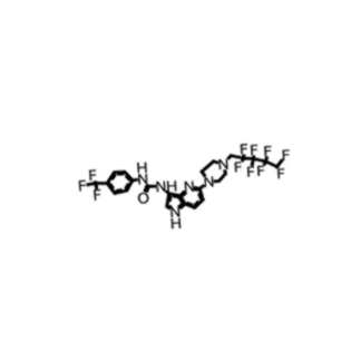 O=C(Nc1ccc(C(F)(F)F)cc1)Nc1c[nH]c2ccc(N3CCN(CC(F)(F)C(F)(F)C(F)(F)C(F)F)CC3)nc12